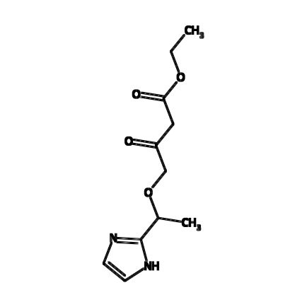 CCOC(=O)CC(=O)COC(C)c1ncc[nH]1